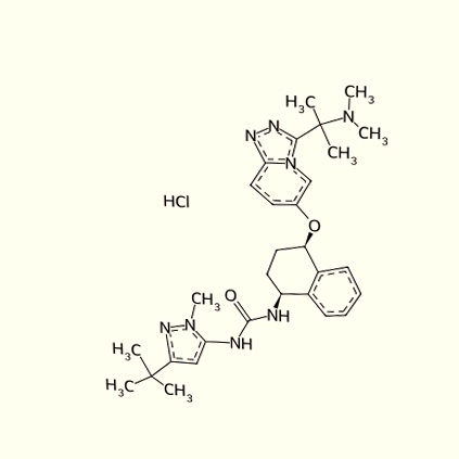 CN(C)C(C)(C)c1nnc2ccc(O[C@@H]3CC[C@H](NC(=O)Nc4cc(C(C)(C)C)nn4C)c4ccccc43)cn12.Cl